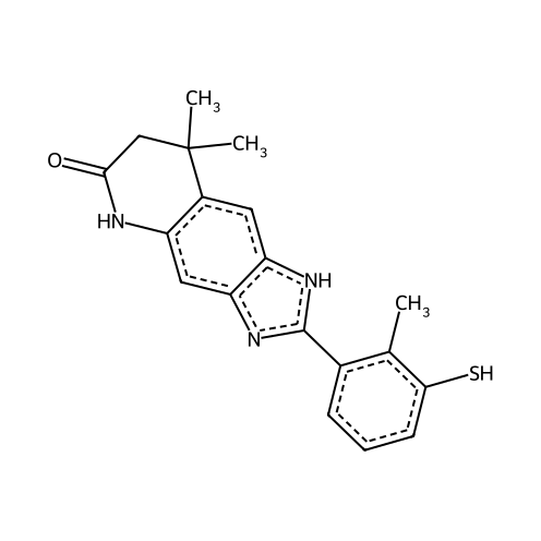 Cc1c(S)cccc1-c1nc2cc3c(cc2[nH]1)C(C)(C)CC(=O)N3